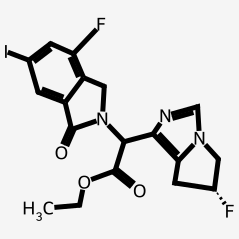 CCOC(=O)C(c1ncn2c1C[C@@H](F)C2)N1Cc2c(F)cc(I)cc2C1=O